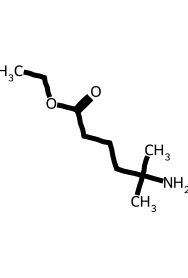 CCOC(=O)CCCC(C)(C)N